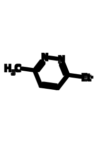 C[CH]c1ccc(C)nn1